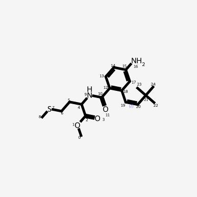 COC(=O)C(CCSC)NC(=O)c1ccc(N)cc1/C=C\C(C)(C)C